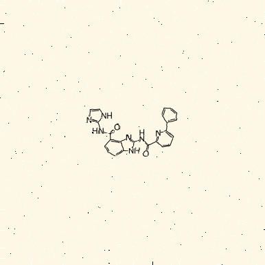 O=C(Nc1nc2c(C(=O)Nc3ncc[nH]3)cccc2[nH]1)c1cccc(-c2ccccc2)n1